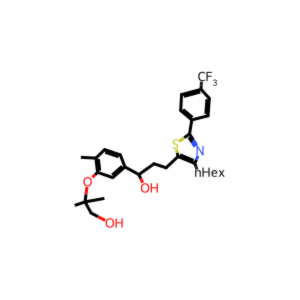 CCCCCCc1nc(-c2ccc(C(F)(F)F)cc2)sc1CCC(O)c1ccc(C)c(OC(C)(C)CO)c1